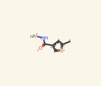 CCCNC(=O)c1csc(C)c1